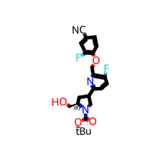 CC(C)(C)OC(=O)N1CC(c2ccc(F)c(COc3ccc(C#N)cc3F)n2)C[C@@H]1CO